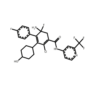 NC1(F)CC(C(=O)Nc2ccnc(C(F)(F)F)c2)=C(Cl)C(C2CCC(O)CC2)=C1c1ccc(F)cc1